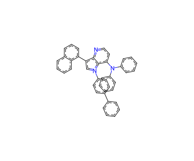 c1ccc(-c2ccc(-n3cc(-c4cccc5ccccc45)c4nccc(N(c5ccccc5)c5ccccc5)c43)cc2)cc1